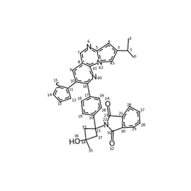 CC(C)c1cc2ncc3cc(-c4cccs4)c(-c4ccc(C5(N6C(=O)c7ccccc7C6=O)CC(C)(O)C5)cc4)nc3n2c1